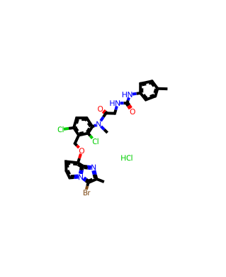 Cc1ccc(NC(=O)NCC(=O)N(C)c2ccc(Cl)c(COc3cccn4c(Br)c(C)nc34)c2Cl)cc1.Cl